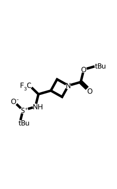 CC(C)(C)OC(=O)N1CC(C(N[S+]([O-])C(C)(C)C)C(F)(F)F)C1